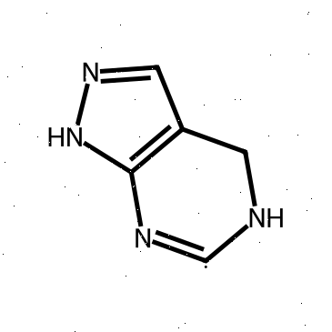 [C]1=Nc2[nH]ncc2CN1